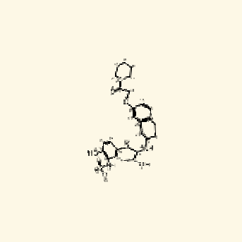 CC(O)C(NC1CCc2ccc(OCC(=O)N3CCCCC3)cc2C1)Oc1ccc(O)c(NS(C)(=O)=O)c1